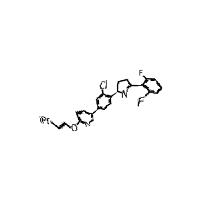 CC(C)CCOc1ccc(-c2ccc([C@H]3CCC(c4c(F)cccc4F)=N3)c(Cl)c2)cn1